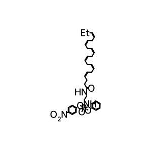 CC/C=C\C/C=C\C/C=C\C/C=C\C/C=C\C/C=C\CCC(=O)NCCNP(=O)(Oc1ccccc1)Oc1ccc([N+](=O)[O-])cc1